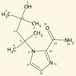 CC(C)(O)CC(C)(C)n1c[c]nc1C(N)=O